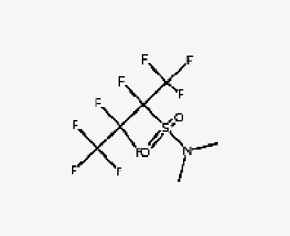 CN(C)S(=O)(=O)C(F)(C(F)(F)F)C(F)(F)C(F)(F)F